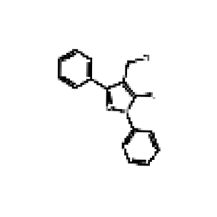 ClCc1c(-c2ccccc2)nn(-c2ccccc2)c1Cl